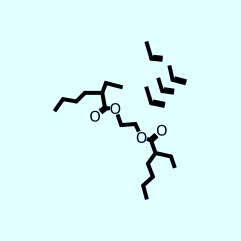 C=CC.C=CC.C=CC.C=CC.CCCCC(CC)C(=O)OCCOC(=O)C(CC)CCCC